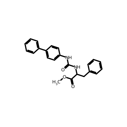 COC(=O)C(Cc1ccccc1)NC(=O)Nc1ccc(-c2ccccc2)cc1